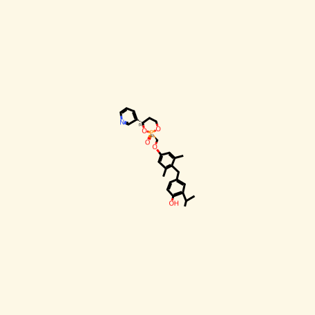 Cc1cc(OC[P@]2(=O)OCC[C@@H](c3cccnc3)O2)cc(C)c1Cc1ccc(O)c(C(C)C)c1